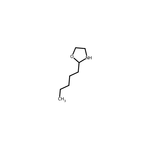 CCCCCC1NCCO1